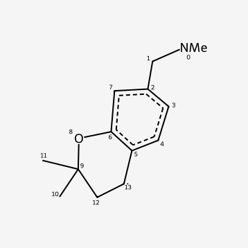 CNCc1ccc2c(c1)OC(C)(C)C[CH]2